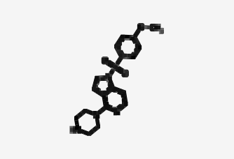 COc1ccc(S(=O)(=O)n2ccc3c(N4CCNCC4)nccc32)cc1